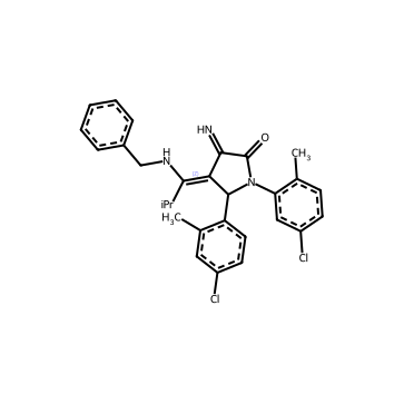 Cc1cc(Cl)ccc1C1/C(=C(/NCc2ccccc2)C(C)C)C(=N)C(=O)N1c1cc(Cl)ccc1C